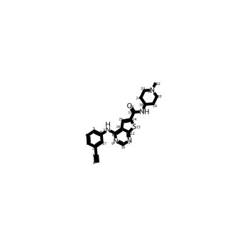 C#Cc1cccc(Nc2ncnc3sc(C(=O)NC4CCN(C)CC4)cc23)c1